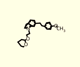 COc1ccc(CCc2ccc3ccn(CCOC4CCCCO4)c3c2)cc1